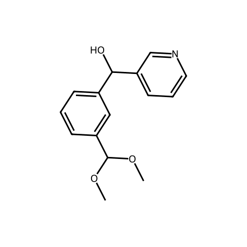 COC(OC)c1cccc(C(O)c2cccnc2)c1